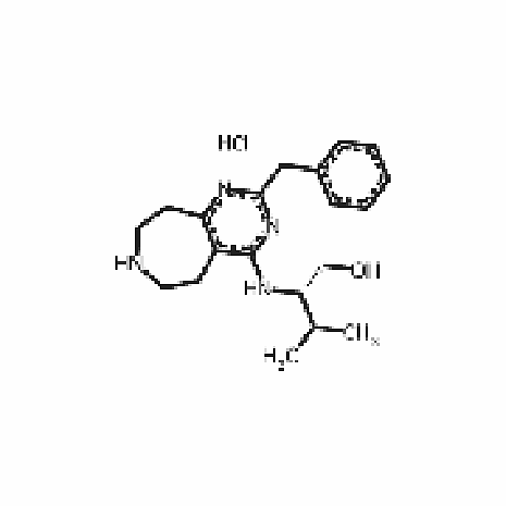 CC(C)[C@@H](CO)Nc1nc(Cc2ccccc2)nc2c1CCNCC2.Cl